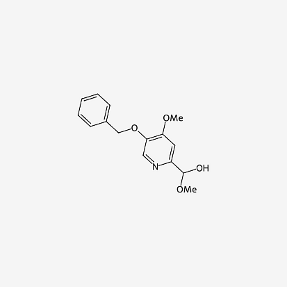 COc1cc(C(O)OC)ncc1OCc1ccccc1